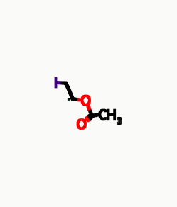 CC(=O)O[CH]CI